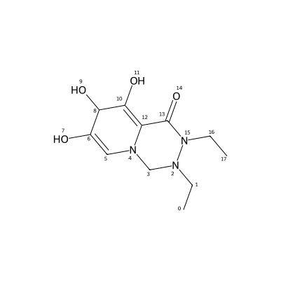 CCN1CN2C=C(O)C(O)C(O)=C2C(=O)N1CC